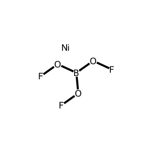 FOB(OF)OF.[Ni]